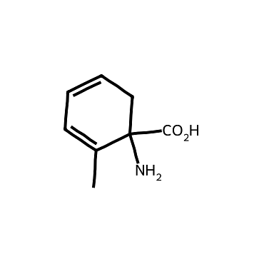 CC1=CC=CCC1(N)C(=O)O